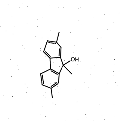 Cc1ccc2c(c1)C(C)(O)c1cc(C)ccc1-2